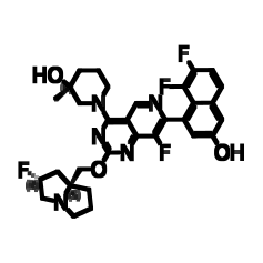 C[C@@]1(O)CCCN(c2nc(OC[C@@]34CCCN3C[C@H](F)C4)nc3c(F)c(-c4cc(O)cc5ccc(F)c(F)c45)ncc23)C1